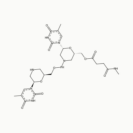 CNC(=O)CCC(=O)OC[C@@H]1CN(POC[C@@H]2CNC[C@H](n3cc(C)c(=O)[nH]c3=O)O2)C[C@H](n2cc(C)c(=O)[nH]c2=O)O1